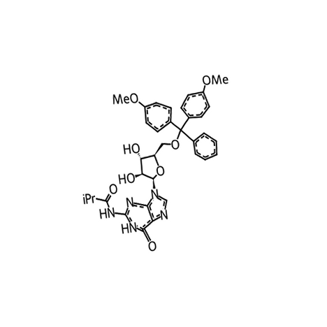 COc1ccc(C(OC[C@H]2O[C@@H](n3cnc4c(=O)[nH]c(NC(=O)C(C)C)nc43)[C@@H](O)[C@@H]2O)(c2ccccc2)c2ccc(OC)cc2)cc1